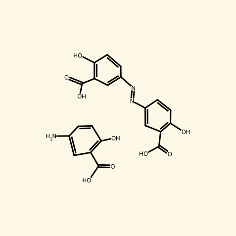 Nc1ccc(O)c(C(=O)O)c1.O=C(O)c1cc(N=Nc2ccc(O)c(C(=O)O)c2)ccc1O